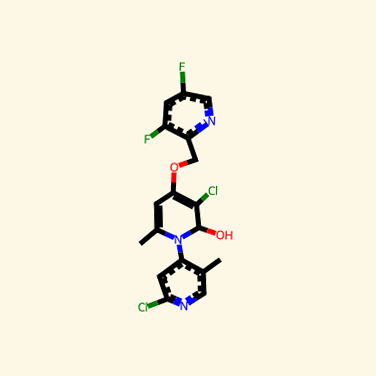 CC1=CC(OCc2ncc(F)cc2F)=C(Cl)C(O)N1c1cc(Cl)ncc1C